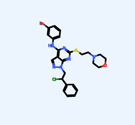 ClC(Cn1ncc2c(Nc3cccc(Br)c3)nc(SCCN3CCOCC3)nc21)c1ccccc1